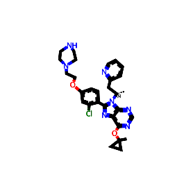 C[C@@H](Cc1ccccn1)n1c(-c2ccc(OCCN3CCNCC3)cc2Cl)nc2c(OC3(C)CC3)ncnc21